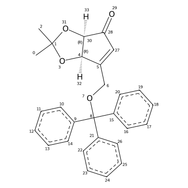 CC1(C)O[C@@H]2C(COC(c3ccccc3)(c3ccccc3)c3ccccc3)=CC(=O)[C@@H]2O1